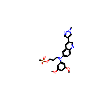 COC1=CC(N(CCCOS(C)(=O)=O)c2ccc3ncc(-c4cnn(C)c4)cc3c2)=CC(OC)C1